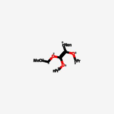 CCCCCCCCCC(OCCC)=C(OCCC)OCOC